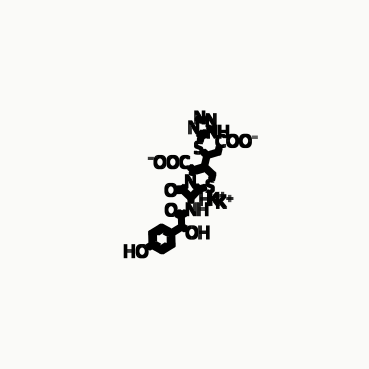 O=C([O-])CC(Sc1nnn[nH]1)C1=C(C(=O)[O-])N2C(=O)C(NC(=O)C(O)c3ccc(O)cc3)[C@@H]2SC1.[K+].[K+]